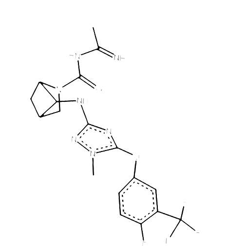 CC(=N)NC(=O)N1CC2CC1C2Nc1nc(Oc2ccc(F)c(C(F)(F)F)c2)n(C)n1